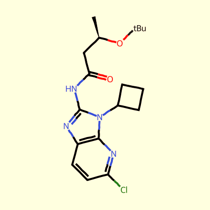 C[C@H](CC(=O)Nc1nc2ccc(Cl)nc2n1C1CCC1)OC(C)(C)C